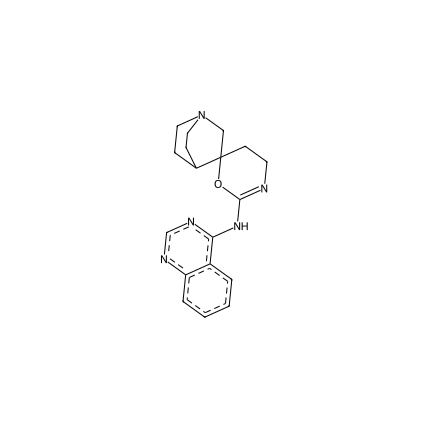 c1ccc2c(NC3=NCCC4(CN5CCC4CC5)O3)ncnc2c1